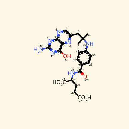 CC(C)(Cc1cnc2nc(N)nc(O)c2n1)Nc1ccc(C(=O)NC(CCC(=O)O)C(=O)O)cc1